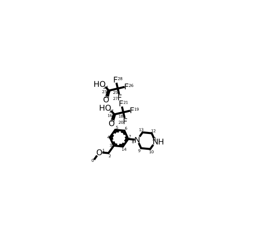 COCc1cccc(N2CCNCC2)c1.O=C(O)C(F)(F)F.O=C(O)C(F)(F)F